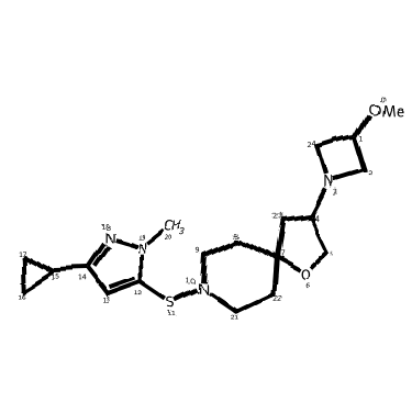 COC1CN(C2COC3(CCN(Sc4cc(C5CC5)nn4C)CC3)C2)C1